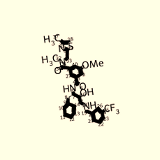 COc1cc(C(=O)N[C@@H](Cc2ccccc2)[C@H](O)CNCc2cccc(C(F)(F)F)c2)cc(C(=O)N(C)Cc2nc(C)cs2)c1